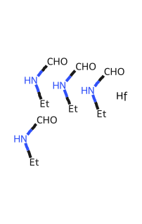 CCNC=O.CCNC=O.CCNC=O.CCNC=O.[Hf]